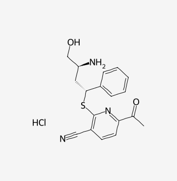 CC(=O)c1ccc(C#N)c(S[C@H](C[C@H](N)CO)c2ccccc2)n1.Cl